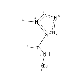 CC(NC(C)(C)C)c1nncn1C